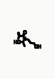 C=C(C)C(=O)N(CCCO)C(C)O